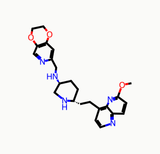 COc1ccc2nccc(CC[C@H]3CC[C@H](NCc4cc5c(cn4)OCCO5)CN3)c2n1